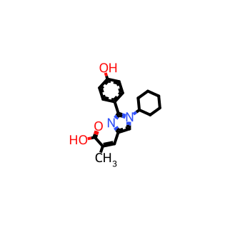 CC(=Cc1cn(C2CCCCC2)c(-c2ccc(O)cc2)n1)C(=O)O